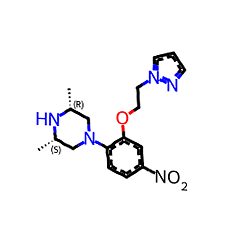 C[C@@H]1CN(c2ccc([N+](=O)[O-])cc2OCCn2cccn2)C[C@H](C)N1